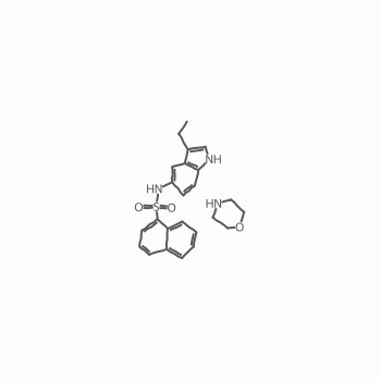 C1COCCN1.CCc1c[nH]c2ccc(NS(=O)(=O)c3cccc4ccccc34)cc12